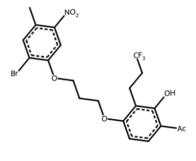 CC(=O)c1ccc(OCCCOc2cc([N+](=O)[O-])c(C)cc2Br)c(CCC(F)(F)F)c1O